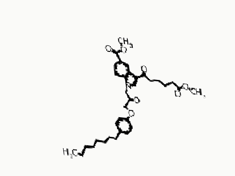 CCCCCCCCc1ccc(OCC(=O)Cn2cc(C(=O)CCCCC(=O)OC)c3cc(C(=O)OC)ccc32)cc1